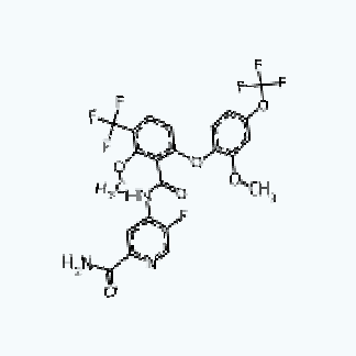 COc1cc(OC(F)(F)F)ccc1Oc1ccc(C(F)(F)F)c(OC)c1C(=O)Nc1cc(C(N)=O)ncc1F